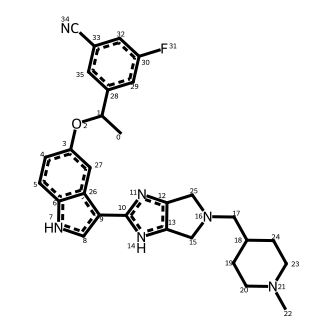 CC(Oc1ccc2[nH]cc(-c3nc4c([nH]3)CN(CC3CCN(C)CC3)C4)c2c1)c1cc(F)cc(C#N)c1